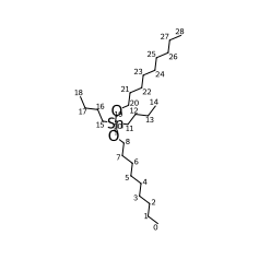 CCCCCCCCC[O][Sn]([CH2]CCC)([CH2]CCC)[O]CCCCCCCCC